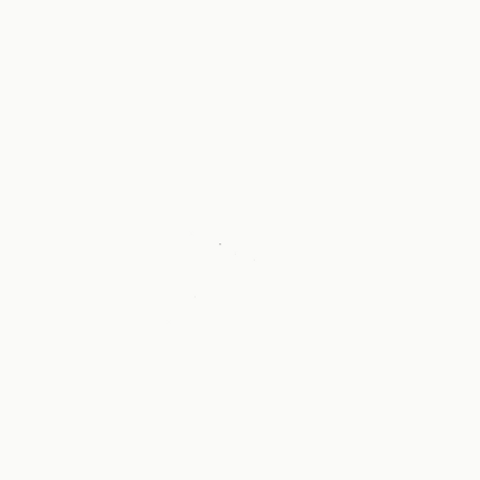 C[Si](C)(c1ccc(C#Cc2ccccc2)cc1)c1ccc(C#Cc2ccccc2)cc1